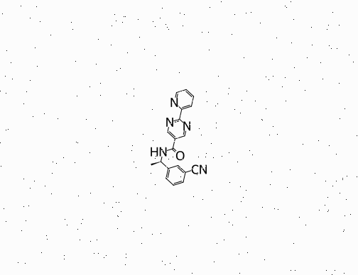 C[C@@H](NC(=O)c1cnc(-c2ccccn2)nc1)c1cccc(C#N)c1